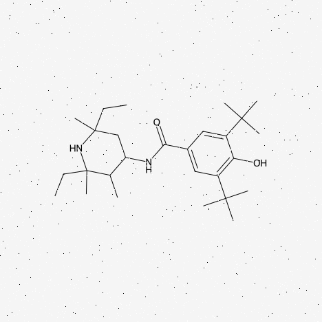 CCC1(C)CC(NC(=O)c2cc(C(C)(C)C)c(O)c(C(C)(C)C)c2)C(C)C(C)(CC)N1